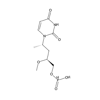 CO[C@H](CO[PH](=O)O)C[C@H](C)n1ccc(=O)[nH]c1=O